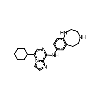 c1cn2c(C3CCCCC3)cnc(Nc3ccc4c(c3)CCNCCN4)c2n1